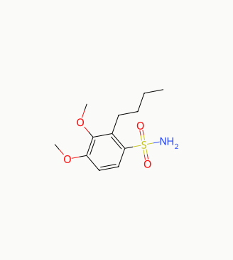 CCCCc1c(S(N)(=O)=O)ccc(OC)c1OC